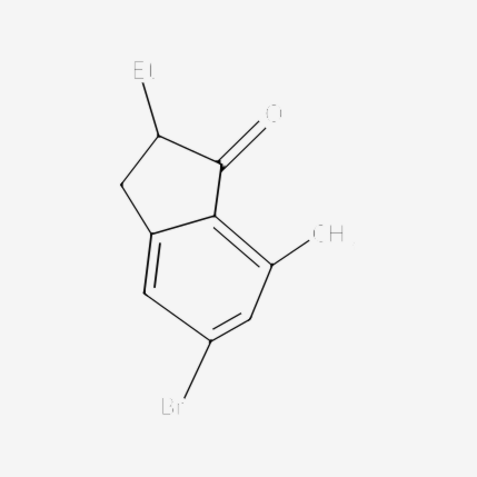 CCC1Cc2cc(Br)cc(C)c2C1=O